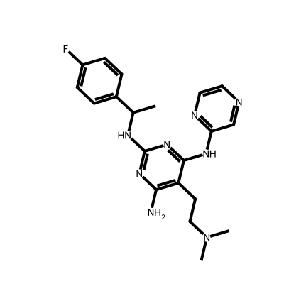 CC(Nc1nc(N)c(CCN(C)C)c(Nc2cnccn2)n1)c1ccc(F)cc1